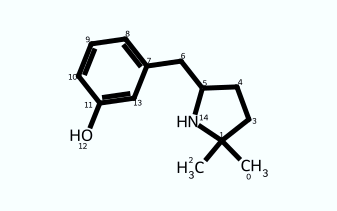 CC1(C)CCC(Cc2cccc(O)c2)N1